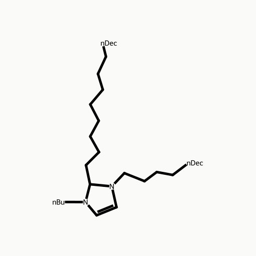 CCCCCCCCCCCCCCCCCCC1N(CCCC)C=CN1CCCCCCCCCCCCCC